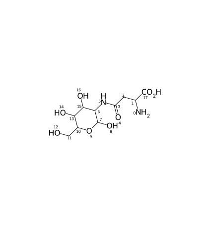 NC(CC(=O)NC1C(O)OC(CO)C(O)C1O)C(=O)O